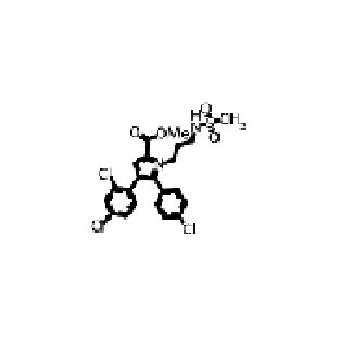 COC(=O)c1cc(-c2ccc(Cl)cc2Cl)c(-c2ccc(Cl)cc2)n1CCCNS(C)(=O)=O